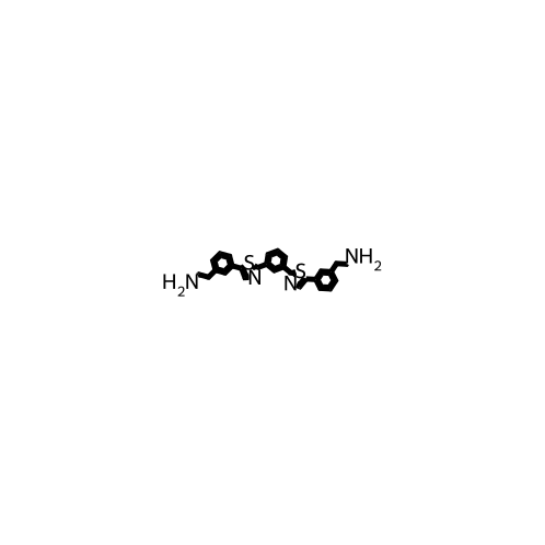 NCCc1cccc(-c2cnc(-c3cccc(-c4ncc(-c5cccc(CCN)c5)s4)c3)s2)c1